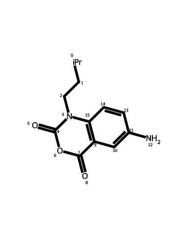 CC(C)CCn1c(=O)oc(=O)c2cc(N)ccc21